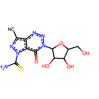 N#Cc1nn(C(N)=S)c2c(=O)n(C3OC(CO)C(O)C3O)nnc12